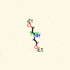 CCOCCNCCOCC.Cl